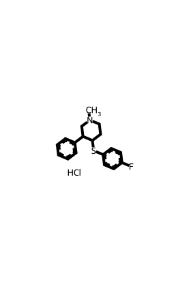 CN1CCC(Sc2ccc(F)cc2)C(c2ccccc2)C1.Cl